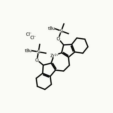 CC(C)(C)[Si](C)(C)OC1C2=C(CCCC2)C2=[C]1[Zr+2][C]1=C(CC2)C2=C(CCCC2)C1O[Si](C)(C)C(C)(C)C.[Cl-].[Cl-]